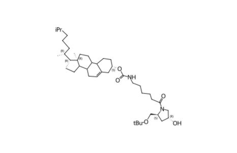 CC(C)CCC[C@@H](C)[C@H]1CCC2C3CC=C4C[C@@H](OC(=O)NCCCCCC(=O)N5C[C@H](O)C[C@H]5COC(C)(C)C)CCC4C3CC[C@@]21C